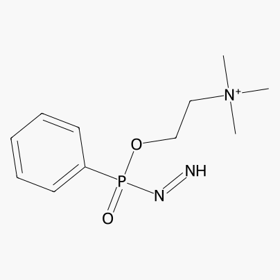 C[N+](C)(C)CCOP(=O)(N=N)c1ccccc1